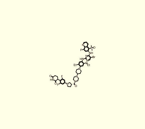 CCOc1cc(N2CCC(N3CCN(C(=O)[C@@H]4CCN(c5cc(F)c(C6CCC(=O)NC6=O)c(F)c5)C4)CC3)CC2)c(CC)cc1Nc1ncc(Br)c(Nc2cc(F)c3ncccc3c2P(C)(C)=O)n1